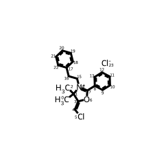 CC1(C)C(=CCl)OC(c2ccccc2)=[N+]1CCc1ccccc1.[Cl-]